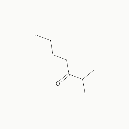 [CH2]CCCC(=O)C(C)C